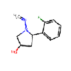 C=NN1CC(O)CC1c1ccccc1F